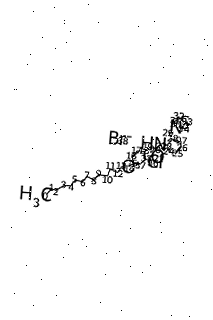 CCCCCCCCCCCCCCOc1ccc(CC(=O)Nc2ccccc2C[n+]2ccsc2)c(Cl)c1.[Br-]